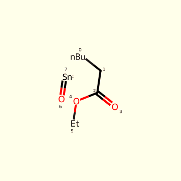 CCCCCC(=O)OCC.[O]=[Sn]